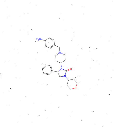 Nc1ccc(CN2CCC(N3C(=O)N(C4CCOCC4)CC3c3ccccc3)CC2)cc1